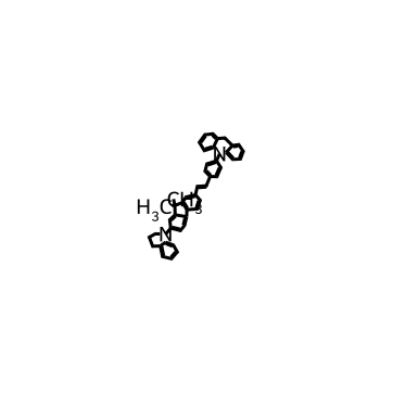 CC1(C)c2cc(/C=C/c3ccc(N4c5ccccc5Cc5ccccc54)cc3)ccc2-c2ccc(N3CCCc4ccccc43)cc21